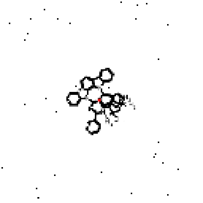 CC1(C)CC(C)(C)c2cc(-n3c4ccccc4c4ccc5c6ccccc6n(-c6nc(-c7ccccc7)nc(-c7ccccc7)n6)c5c43)ccc21